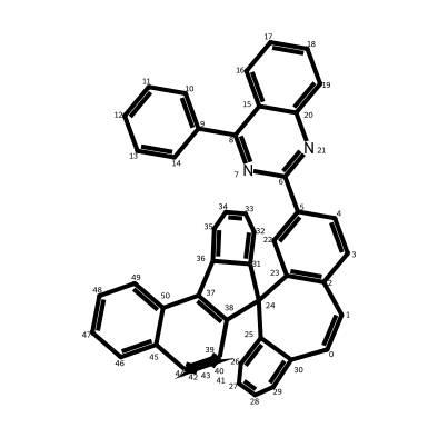 C1=Cc2ccc(-c3nc(-c4ccccc4)c4ccccc4n3)cc2C2(c3ccccc31)c1ccccc1-c1c2c2ccccc2c2ccccc12